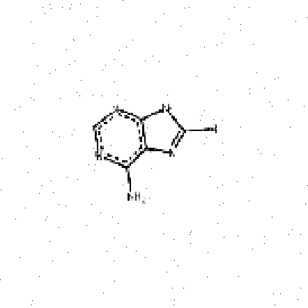 Nc1ncnc2c1N=C(I)[N]2